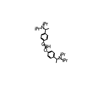 CC(C)N(C(C)C)C(C)c1ccc(OBOc2ccc(C(C)N(C(C)C)C(C)C)cc2)cc1